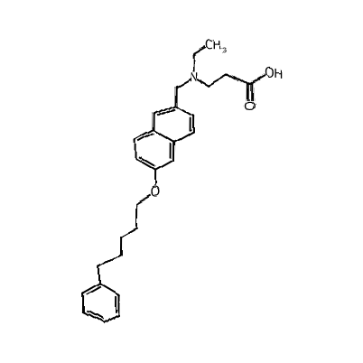 CCN(CCC(=O)O)Cc1ccc2cc(OCCCCCc3ccccc3)ccc2c1